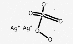 O=S(=O)([O-])O[O-].[Ag+].[Ag+]